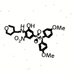 COc1ccc(N(c2ccc(OC)cc2)S(=O)(=O)c2cc(O)c(NCC3CCOCC3)c([N+](=O)[O-])c2)cc1